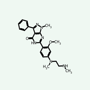 CNCCN(C)c1ccc(-c2nc3c(c(-c4ccccc4)nn3C)c(=O)[nH]2)c(OC)c1